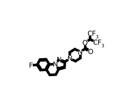 O=C(OC(C(F)(F)F)C(F)(F)F)N1CCN(c2cc3n(n2)-c2ccc(F)cc2CC3)CC1